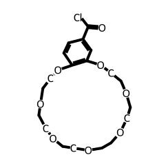 O=C(Cl)c1ccc2c(c1)OCCOCCOCCOCCOCCOCCO2